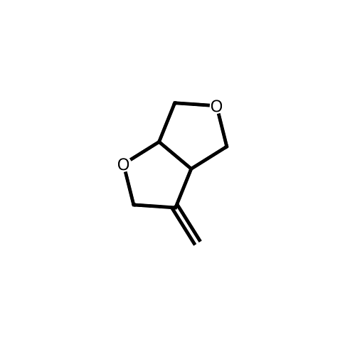 C=C1COC2COCC12